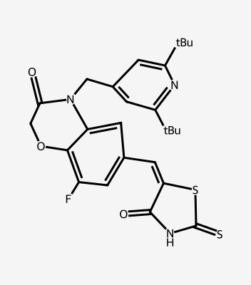 CC(C)(C)c1cc(CN2C(=O)COc3c(F)cc(/C=C4/SC(=S)NC4=O)cc32)cc(C(C)(C)C)n1